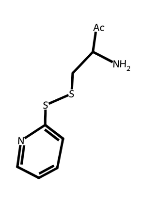 CC(=O)C(N)CSSc1ccccn1